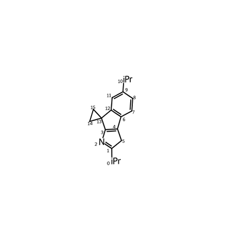 CC(C)C1=NC2=C(C1)c1ccc(C(C)C)cc1C21CC1